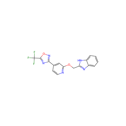 FC(F)(F)c1nc(-c2ccnc(OCc3nc4ccccc4[nH]3)c2)no1